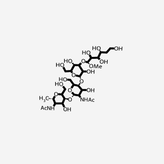 CO[C@H](OC1C(O)[C@H](O[C@@H]2C(CO)O[C@@H](O[C@@H]3C(CO)O[C@@H](C)C(NC(C)=O)C3O)C(NC(C)=O)C2O)OC(CO)[C@H]1O)C(O)C(O)[C@H](O)CCO